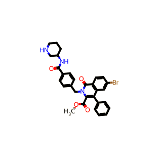 COC(=O)c1c(-c2ccccc2)c2cc(Br)ccc2c(=O)n1Cc1ccc(C(=O)NC2CCCNC2)cc1